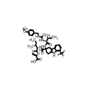 CC[C@H](C)[C@H](NC(=O)NCc1ccc(OC)cc1)C(=O)NC1(C(=O)N[C@H](c2nc(C(=O)O)cs2)[C@@H](C)CC)CCc2[nH]c3c(C(F)(F)F)cccc3c2C1